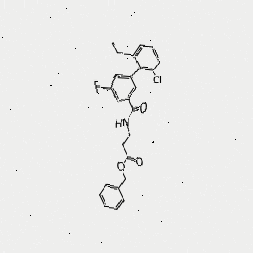 CCc1cccc(Cl)c1-c1cc(F)cc(C(=O)NCCC(=O)OCc2ccccc2)c1